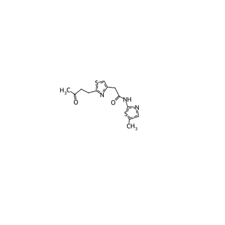 CC(=O)CCc1nc(CC(=O)Nc2ncc(C)s2)cs1